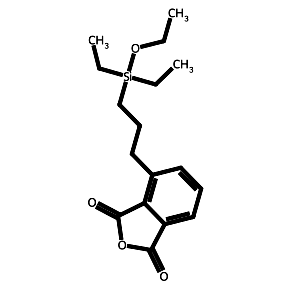 CCO[Si](CC)(CC)CCCc1cccc2c1C(=O)OC2=O